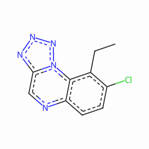 CCc1c(Cl)ccc2ncc3nnnn3c12